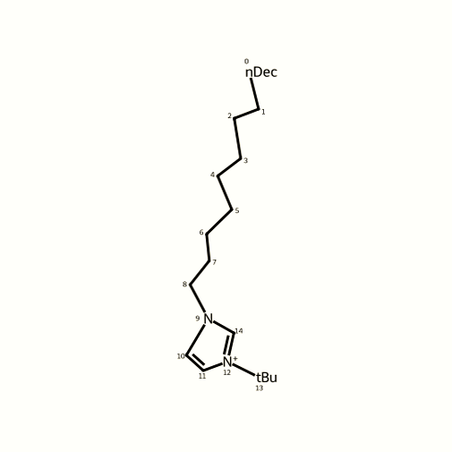 CCCCCCCCCCCCCCCCCCn1cc[n+](C(C)(C)C)c1